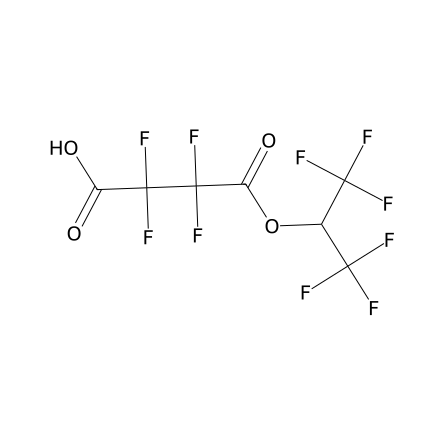 O=C(O)C(F)(F)C(F)(F)C(=O)OC(C(F)(F)F)C(F)(F)F